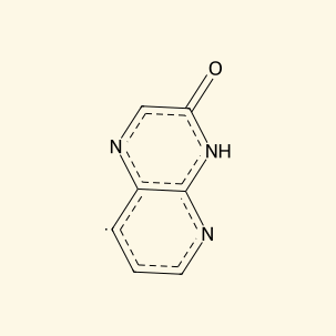 O=c1cnc2[c]ccnc2[nH]1